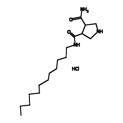 CCCCCCCCCCCCNC(=O)C1CNCC1C(N)=O.Cl